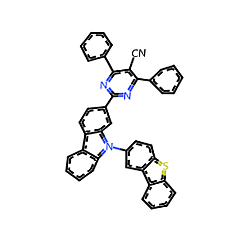 N#Cc1c(-c2ccccc2)nc(-c2ccc3c4ccccc4n(-c4ccc5sc6ccccc6c5c4)c3c2)nc1-c1ccccc1